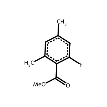 COC(=O)c1c(C)cc(C)cc1F